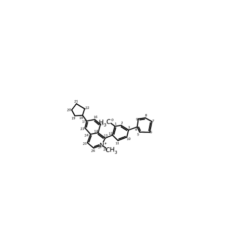 Cc1cc(-c2ccccc2)ccc1-c1c2ccc(C3CCCC3)cc2cc[n+]1C